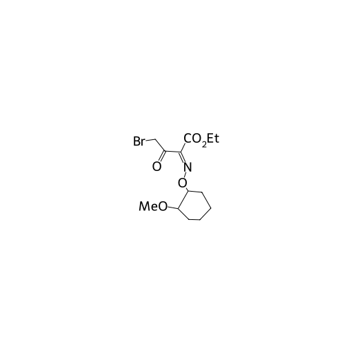 CCOC(=O)C(=NOC1CCCCC1OC)C(=O)CBr